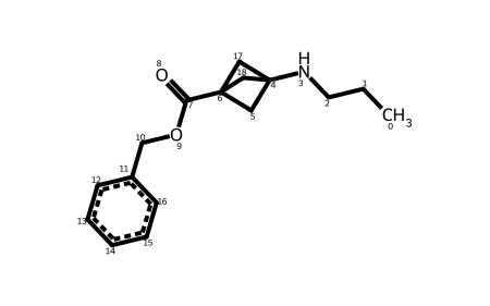 CCCNC12CC(C(=O)OCc3ccccc3)(C1)C2